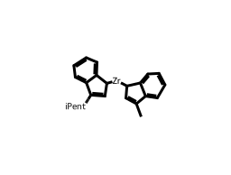 CCCC(C)C1=C[CH]([Zr][CH]2C=C(C)c3ccccc32)c2ccccc21